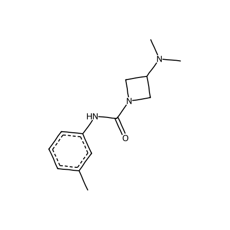 Cc1cccc(NC(=O)N2CC(N(C)C)C2)c1